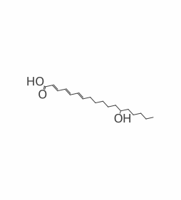 CCCCCC(O)CCCCCC=CC=CC=CC(=O)O